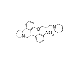 O=[N+]([O-])c1cccc(C2CN3CCCC3c3cccc(OCCCN4CCCCC4)c32)c1